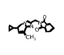 Cc1cc(C2CC2)cn2cc(CN3C(=O)c4ccccc4C3=O)nc12